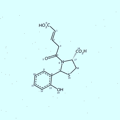 O=C(O)/C=C/CC(=O)N1C(c2ccccc2O)SC[C@H]1C(=O)O